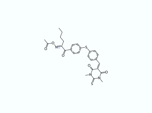 CCCC/C(=N\OC(C)=O)C(=O)c1ccc(Sc2ccc(C=C3C(=O)N(C)C(=S)N(C)C3=O)cc2)cc1